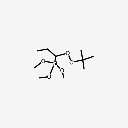 CCC(OOC(C)(C)C)[Si](OC)(OC)OC